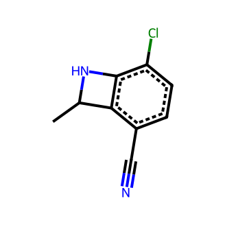 CC1Nc2c(Cl)ccc(C#N)c21